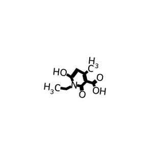 CCn1c(O)cc(C)c(C(=O)O)c1=O